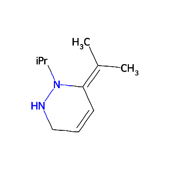 CC(C)=C1C=CCNN1C(C)C